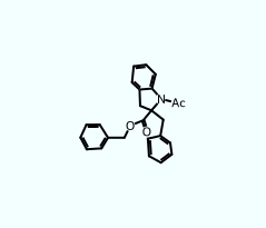 CC(=O)N1c2ccccc2CC1(Cc1ccccc1)C(=O)OCc1ccccc1